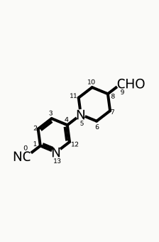 N#Cc1ccc(N2CCC(C=O)CC2)cn1